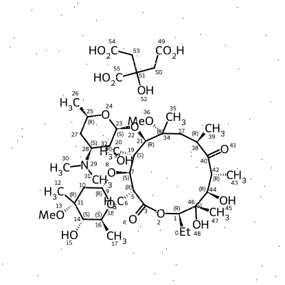 CC[C@H]1OC(=O)[C@H](C)[C@@H](O[C@H]2C[C@@](C)(OC)[C@@H](O)[C@H](C)O2)[C@H](C)[C@@H](O[C@@H]2O[C@H](C)C[C@H](N(C)C)[C@H]2O)[C@](C)(OC)C[C@@H](C)C(=O)[C@H](C)[C@@H](O)[C@]1(C)O.O=C(O)CC(O)(CC(=O)O)C(=O)O